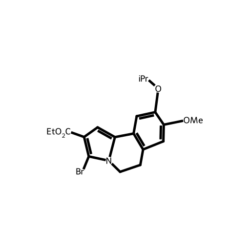 CCOC(=O)c1cc2n(c1Br)CCc1cc(OC)c(OC(C)C)cc1-2